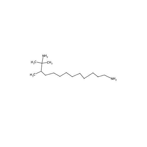 CC(CCCCCCCCCCN)C(C)(C)N